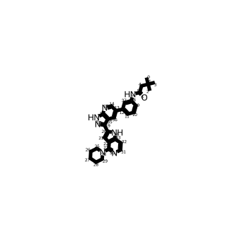 CC(C)(C)CC(=O)Nc1cccc(-c2cnc3[nH]nc(-c4cc5c(N6CCCCC6)nccc5[nH]4)c3c2)c1